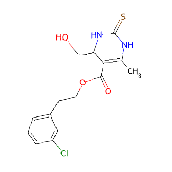 CC1=C(C(=O)OCCc2cccc(Cl)c2)C(CO)NC(=S)N1